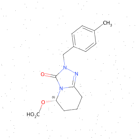 Cc1ccc(Cn2nc3n(c2=O)[C@@H](OC(=O)O)CCC3)cc1